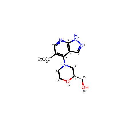 CCOC(=O)c1cnc2[nH]ncc2c1N1CCO[C@@H](CO)C1